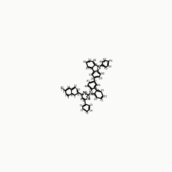 Fc1ccc2cc(-c3cc(-c4ccccc4)nc(-n4c5ccccc5c5cc(-c6ccc7c(c6)c6ccccc6n7-c6ccccc6)ccc54)n3)ccc2c1